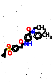 CCN(C(=O)c1ccc(NC(=O)Cc2ccc(S(=O)(=O)CC3CC3)cc2)cc1)c1cccc(C)c1